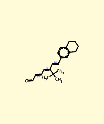 CC(C)(C)C(=C\C=C\C=O)/C=C/c1ccc2c(c1)CCCC2